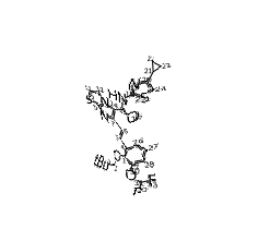 CC(C)(C)COc1c(/C=C/c2nc3sccn3c2C(=O)Nc2nc(C3CC3)cs2)cccc1OC(F)F